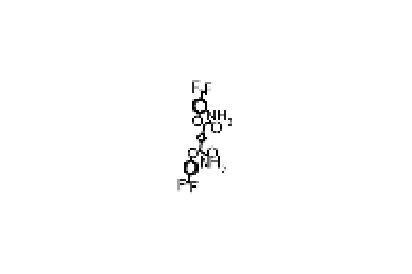 NC(=O)C(Oc1ccc(C(F)F)cc1)C12CC(C(Oc3ccc(C(F)F)cc3)C(N)=O)(C1)C2